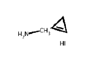 C1=CC1.CN.I